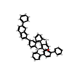 c1ccc(-c2ccc(-c3ccccc3N(c3ccc(-c4ccc5ccc(-c6ccccc6)cc5c4)cc3)c3cccc4sc5ccccc5c34)cc2)cc1